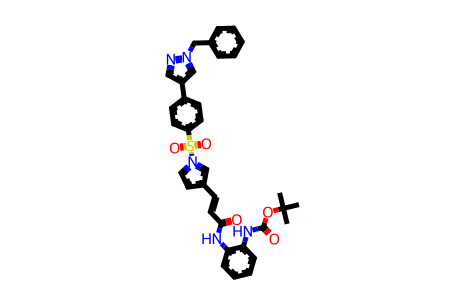 CC(C)(C)OC(=O)Nc1ccccc1NC(=O)C=Cc1ccn(S(=O)(=O)c2ccc(-c3cnn(Cc4ccccc4)c3)cc2)c1